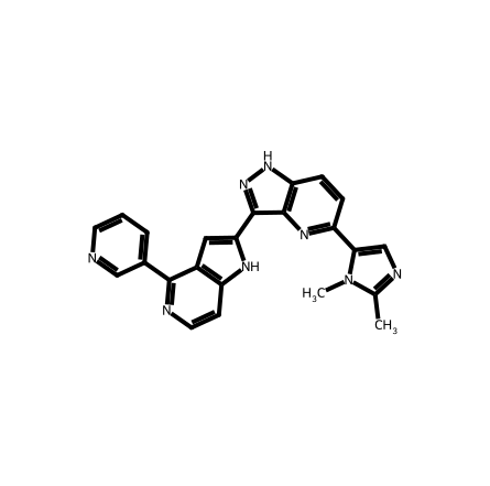 Cc1ncc(-c2ccc3[nH]nc(-c4cc5c(-c6cccnc6)nccc5[nH]4)c3n2)n1C